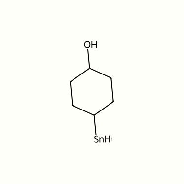 OC1CC[CH]([SnH])CC1